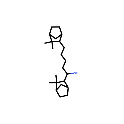 CC1(C)C2CCC(C2)C1CCCCC(N)C1C2CCC(C2)C1(C)C